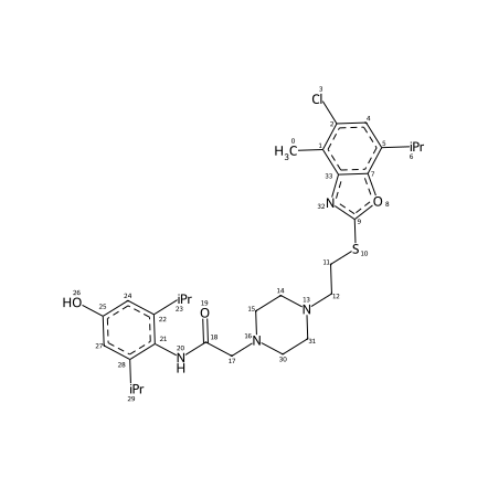 Cc1c(Cl)cc(C(C)C)c2oc(SCCN3CCN(CC(=O)Nc4c(C(C)C)cc(O)cc4C(C)C)CC3)nc12